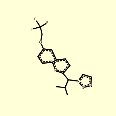 CC(C)C(c1ccc2cc(OCC(F)(F)F)ccc2n1)n1ccnn1